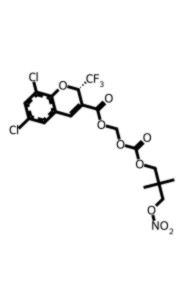 CC(C)(COC(=O)OCOC(=O)C1=Cc2cc(Cl)cc(Cl)c2O[C@@H]1C(F)(F)F)CO[N+](=O)[O-]